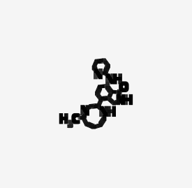 Cc1cccc[nH]c(-c2ccc(Nc3ccccn3)c3c2CNC3=O)cn1